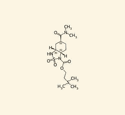 CN(C)C(=O)[C@H]1CC[C@H]2[C@@H](C1)NS(=O)(=O)N2C(=O)OCCS(C)(C)C